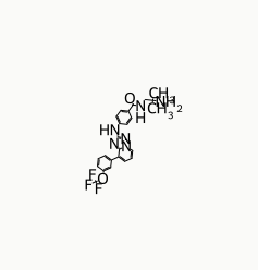 CC(C)(N)CNC(=O)c1ccc(Nc2nc3c(-c4cccc(OC(F)(F)F)c4)cccn3n2)cc1